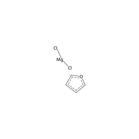 [Cl][Mg][Cl].[c]1ccco1